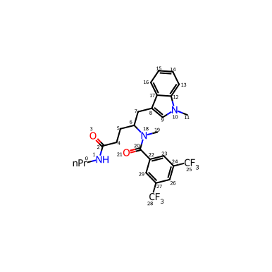 CCCNC(=O)CCC(Cc1cn(C)c2ccccc12)N(C)C(=O)c1cc(C(F)(F)F)cc(C(F)(F)F)c1